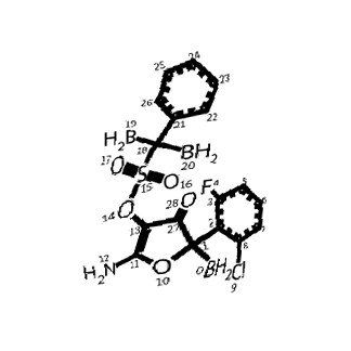 BC1(c2c(F)cccc2Cl)OC(N)=C(OS(=O)(=O)C(B)(B)c2ccccc2)C1=O